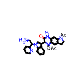 CC(=O)ON1c2cc3c(cc2NC(=O)C1c1cn(C(CN)c2ccccn2)c2ccccc12)N(C(C)=O)CC3